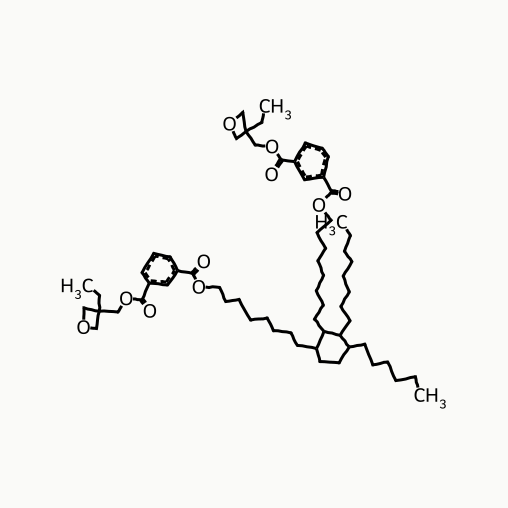 CCCCCCCCC1C(CCCCCC)CCC(CCCCCCCCOC(=O)c2cccc(C(=O)OCC3(CC)COC3)c2)C1CCCCCCCCOC(=O)c1cccc(C(=O)OCC2(CC)COC2)c1